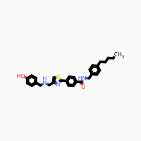 CCCCCc1ccc(CNC(=O)c2ccc(-c3nc(CNCc4ccc(O)cc4)cs3)cc2)cc1